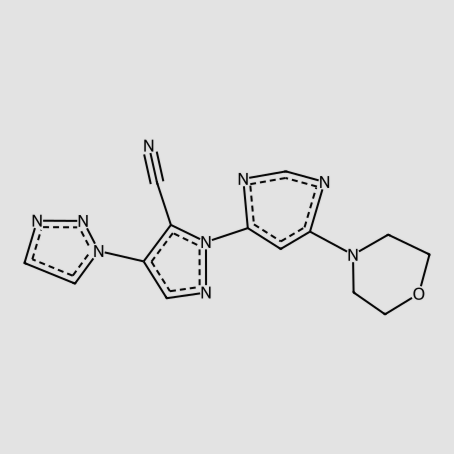 N#Cc1c(-n2ccnn2)cnn1-c1cc(N2CCOCC2)ncn1